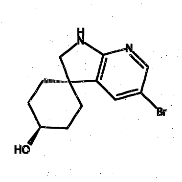 O[C@H]1CC[C@]2(CC1)CNc1ncc(Br)cc12